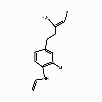 C=CNc1ccc(CC/C(N)=C/CC)cc1CC